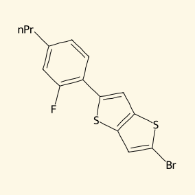 CCCc1ccc(-c2cc3sc(Br)cc3s2)c(F)c1